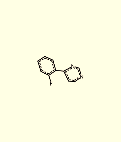 Fc1ccccc1-c1c[c]ncn1